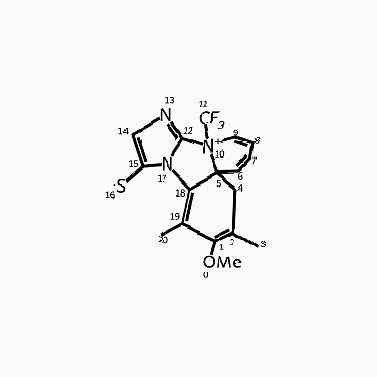 COC1=C(C)CC23C=CC=C[N+]2(C(F)(F)F)c2ncc([S])n2C3=C1C